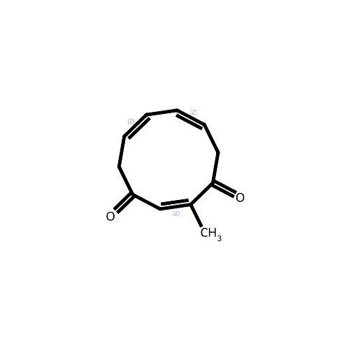 C/C1=C/C(=O)C/C=C\C=C/CC1=O